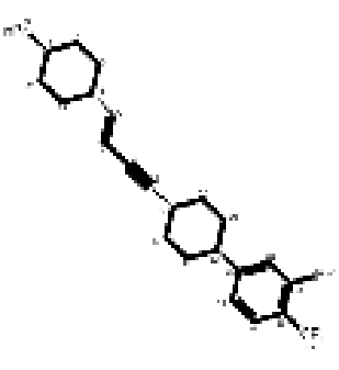 CCC[C@H]1CC[C@H](C=CC#C[C@H]2CC[C@H](c3ccc(C(F)(F)F)c(F)c3)CC2)CC1